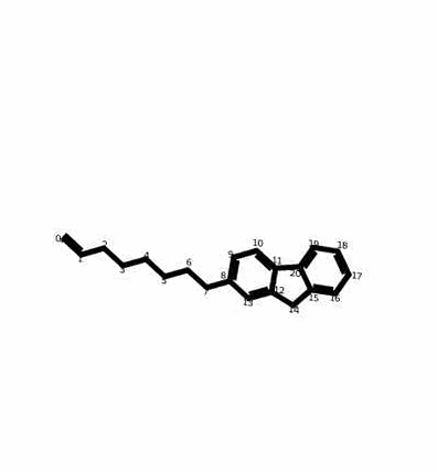 [CH]=CCCCCCCc1ccc2c(c1)Cc1ccccc1-2